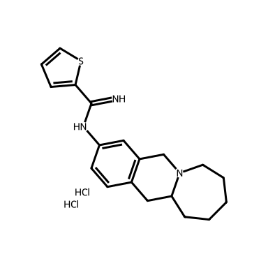 Cl.Cl.N=C(Nc1ccc2c(c1)CN1CCCCCC1C2)c1cccs1